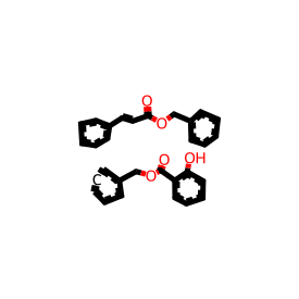 O=C(/C=C/c1ccccc1)OCc1ccccc1.O=C(OCc1ccccc1)c1ccccc1O